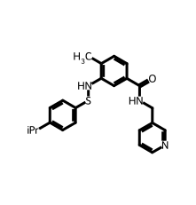 Cc1ccc(C(=O)NCc2cccnc2)cc1NSc1ccc(C(C)C)cc1